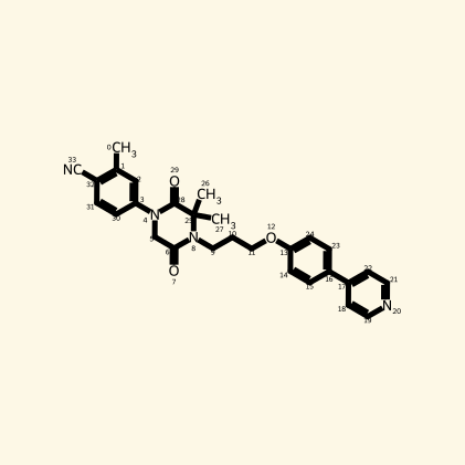 Cc1cc(N2CC(=O)N(CCCOc3ccc(-c4ccncc4)cc3)C(C)(C)C2=O)ccc1C#N